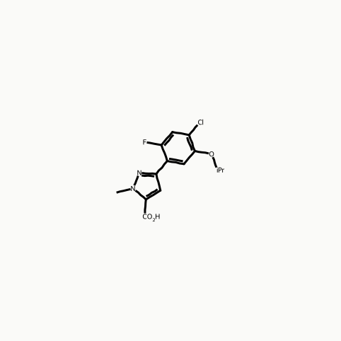 CC(C)Oc1cc(-c2cc(C(=O)O)n(C)n2)c(F)cc1Cl